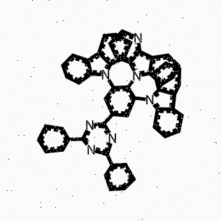 c1ccc(-c2nc(-c3ccccc3)nc(-c3cc(-n4c5ccccc5c5ccccc54)c(-n4c5ccccc5c5ncccc54)c(-n4c5ccccc5c5ccccc54)c3)n2)cc1